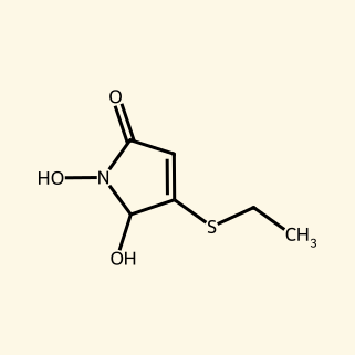 CCSC1=CC(=O)N(O)C1O